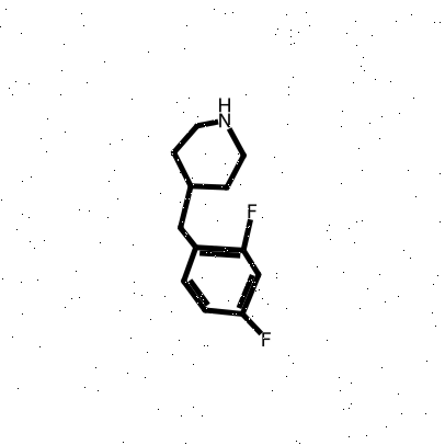 Fc1ccc(CC2CCNCC2)c(F)c1